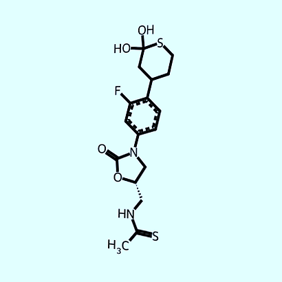 CC(=S)NC[C@H]1CN(c2ccc(C3CCSC(O)(O)C3)c(F)c2)C(=O)O1